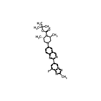 Cc1nc2c(F)cc(-c3ncc4cc(N5C[C@H](C)N(C(=O)OC(C)(C)C)[C@@H](C)C5)ccc4n3)cn2n1